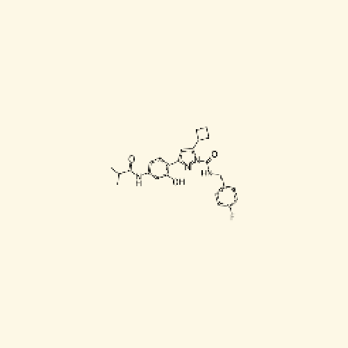 CC(C)C(=O)Nc1ccc(-c2cc(C3CCC3)n(C(=O)NCc3ccc(F)cc3)n2)c(O)c1